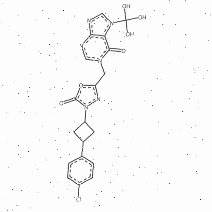 O=c1c2c(ncn1Cc1nn(C3CC(c4ccc(Cl)cc4)C3)c(=O)o1)ncn2C(O)(O)O